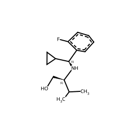 CC(C)[C@@H](CO)N[C@H](c1ccccc1F)C1CC1